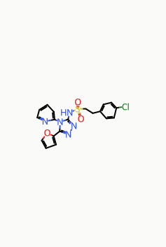 O=S(=O)(CCc1ccc(Cl)cc1)Nc1nnc(-c2ccco2)n1-c1ccccn1